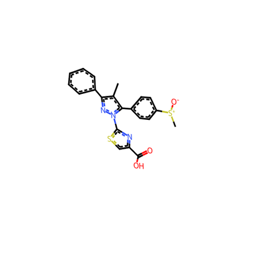 Cc1c(-c2ccccc2)nn(-c2nc(C(=O)O)cs2)c1-c1ccc([S+](C)[O-])cc1